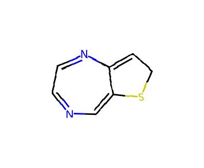 C1=NC=C2SCC=C2N=C1